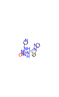 [O-][s+]1nc(NCCCN(Cc2cccs2)c2ccccn2)c(NCc2ccncc2)n1